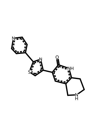 O=c1[nH]c2c(cc1-c1csc(-c3ccncc3)n1)CNCC2